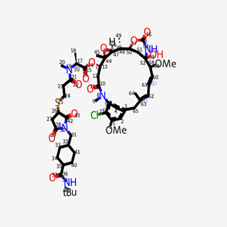 COc1cc2cc(c1Cl)N(C)C(=O)C[C@H](OC(=O)[C@H](C)N(C)C(=O)CCSC1CC(=O)N(CC3CCC(C(=O)NC(C)(C)C)CC3)C1=O)C1(C)O[C@H]1[C@H](C)C1CC(O)(NC(=O)O1)C(OC)/C=C/C=C(\C)C2